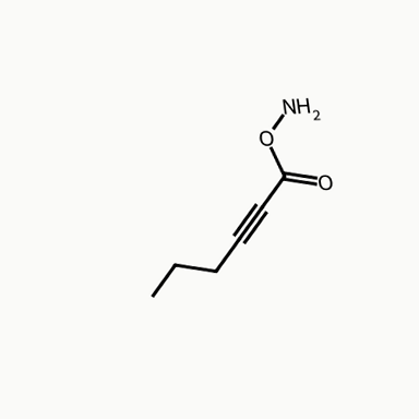 CCCC#CC(=O)ON